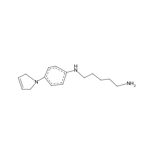 NCCCCCNc1ccc(N2CC=CC2)cc1